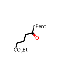 CCCCCC(=O)CCCC(=O)OCC